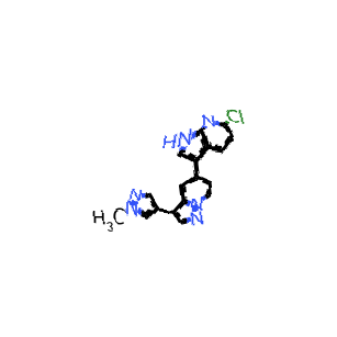 Cn1cc(-c2cnn3ccc(-c4c[nH]c5nc(Cl)ccc45)cc23)cn1